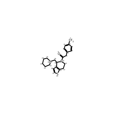 O=C(Cc1ccc(C(F)(F)F)cc1)N1CCc2sccc2C1CN1CCCCC1